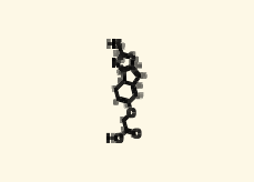 O=C(O)COC1=CCC2=c3nc(S)sc3=CC2=C1